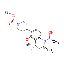 CCCOc1c(C2=CCN(C(=O)OC(C)(C)C)CC2)ccc2c1CC[C@H](C)N2C(C)O